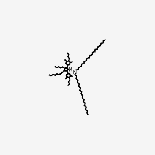 CCCCCCC#CC1=C(c2cc(C)c(CCCC)c(C)c2)[N+](=[N-])C(c2cc(C)c(CCCC)c(C)c2)=C1CCCCC.CCCCCCCCCCCCCCCCCCCCC[CH2][Ni][CH2]CCCCCCCCCCCCCCCCCCCCC